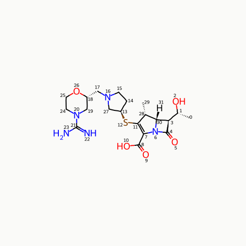 C[C@@H](O)[C@H]1C(=O)N2C(C(=O)O)=C(S[C@@H]3CCN(C[C@@H]4CN(C(=N)N)CCO4)C3)[C@H](C)[C@H]12